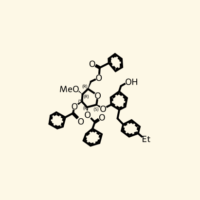 CCc1ccc(Cc2ccc(CO)cc2O[C@@H]2O[C@H](COC(=O)c3ccccc3)[C@@H](OC)[C@H](OC(=O)c3ccccc3)[C@H]2OC(=O)c2ccccc2)cc1